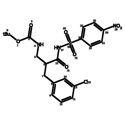 CC(C)(C)OC(=O)NCC(Cc1cccc(Cl)c1)C(=O)NS(=O)(=O)c1ccc([N+](=O)[O-])cc1